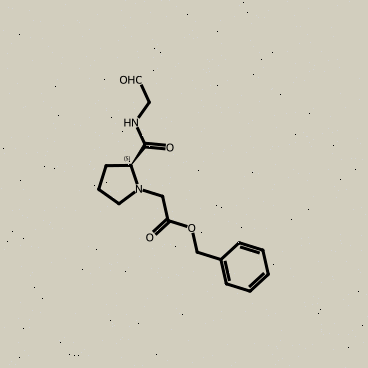 O=CCNC(=O)[C@@H]1CCCN1CC(=O)OCc1ccccc1